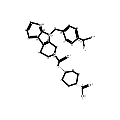 O=C(C[C@H]1CC[C@@H](C(=O)O)CC1)N1CCc2c(n(Cc3ccc(C(F)F)cc3)c3ncccc23)C1